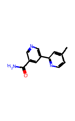 Cc1ccnc(-c2cncc(C(N)=O)c2)c1